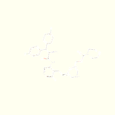 NC(C(=O)Nc1cncc(F)c1CC[C@@H]1CNC[C@@H](COC(=O)N2CCOCC2)O1)C(c1ccc(F)cc1)c1ccc(F)cc1